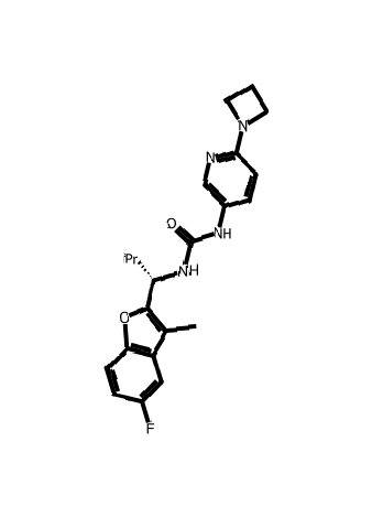 Cc1c([C@@H](NC(=O)Nc2ccc(N3CCC3)nc2)C(C)C)oc2ccc(F)cc12